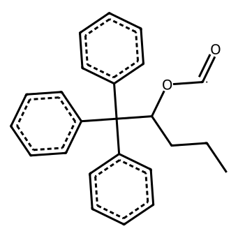 CCCC(O[C]=O)C(c1ccccc1)(c1ccccc1)c1ccccc1